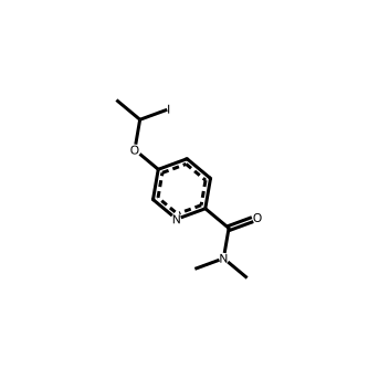 CC(I)Oc1ccc(C(=O)N(C)C)nc1